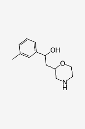 Cc1cccc(C(O)CC2CNCCO2)c1